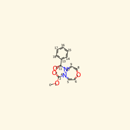 COC(=O)n1ccoccn1C(=O)c1ccccc1